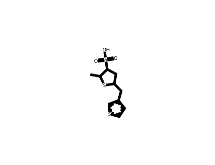 CC1SC(Cc2ccsc2)CC1S(=O)(=O)O